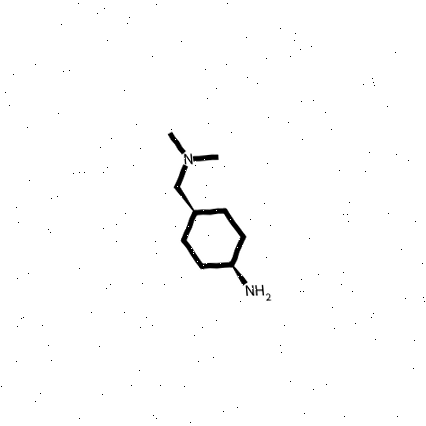 CN(C)C[C@H]1CC[C@@H](N)CC1